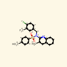 Cc1cc2ccccc2nc1N(Cc1ccc(F)c(C(F)(F)F)c1)S(=O)(=O)c1ccc(C(=O)O)cc1